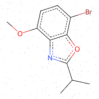 COc1ccc(Br)c2oc(C(C)C)nc12